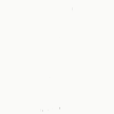 CCCCCC1CCC(c2ccc(C3CCC(O)CC3)cc2)CC1